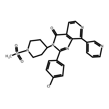 CS(=O)(=O)N1CCC(n2c(-c3ccc(Cl)cc3)nc3c(-c4cccnc4)nccc3c2=O)CC1